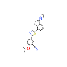 CC(C)Oc1ccc(-c2ncc(-c3cccc4c3CC[C@@H]4N3CCC3)s2)cc1C#N